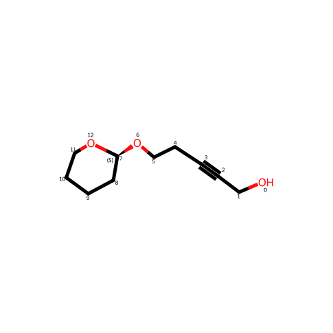 OCC#CCCO[C@H]1CCCCO1